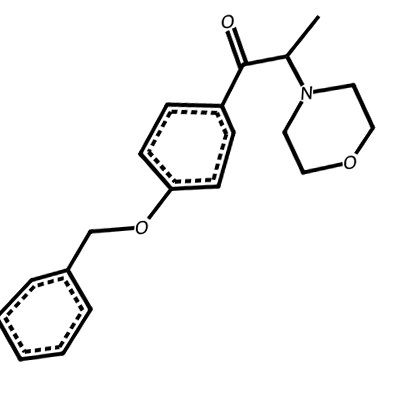 CC(C(=O)c1ccc(OCc2ccccc2)cc1)N1CCOCC1